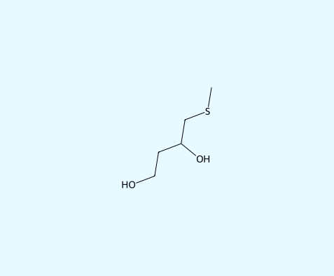 CSCC(O)CCO